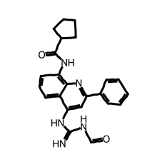 N=C(NC=O)Nc1cc(-c2ccccc2)nc2c(NC(=O)C3CCCC3)cccc12